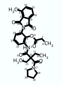 CCC(=O)Oc1c(NC(=O)C(CC)(CC)C(=O)N2CCCC2)cccc1N1C(=O)c2cccc(C)c2C1=O